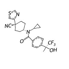 C[C@](O)(c1ccc(C(=O)N(C2CC2)[C@H]2CC[C@@](C#N)(c3cscn3)CC2)cc1)C(F)(F)F